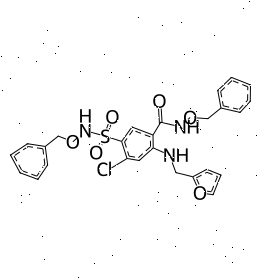 O=C(NOCc1ccccc1)c1cc(S(=O)(=O)NOCc2ccccc2)c(Cl)cc1NCc1ccco1